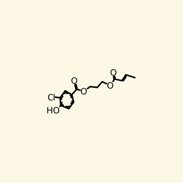 CC=CC(=O)OCCCOC(=O)c1ccc(O)c(Cl)c1